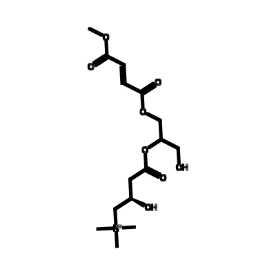 COC(=O)/C=C/C(=O)OCC(CO)OC(=O)C[C@@H](O)C[N+](C)(C)C